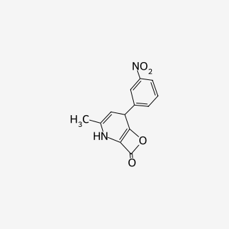 CC1=CC(c2cccc([N+](=O)[O-])c2)C2=C(N1)C(=O)O2